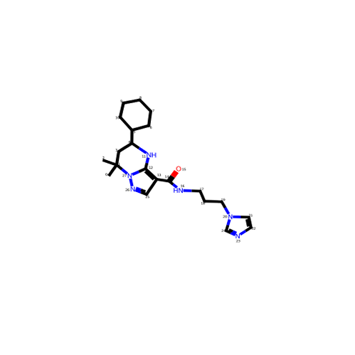 CC1(C)CC(C2CCCCC2)Nc2c(C(=O)NCCCn3ccnc3)cnn21